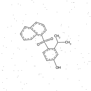 CC(C)c1cc(O)ccc1S(=O)(=O)c1cccc2ccccc12